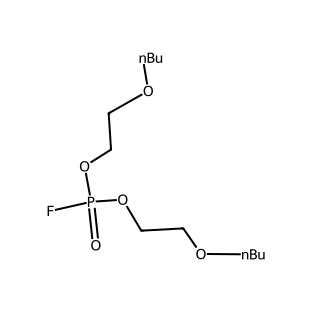 CCCCOCCOP(=O)(F)OCCOCCCC